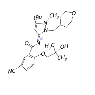 Cn1c(C(C)(C)C)c/c(=N\C(=O)c2cc(C#N)ccc2OCC(C)(C)O)n1CC1CCOCC1